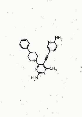 Cc1nc(N)nc(N2CCC(c3ccccc3)CC2)c1C#Cc1ccc(N)nc1